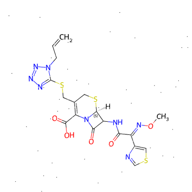 C=CCn1nnnc1SCC1=C(C(=O)O)N2C(=O)C(NC(=O)C(=NOC)c3cscn3)[C@@H]2SC1